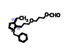 C/C=c1/ccn(Cc2ccccc2)/c1=C/CCOCCCOC=O